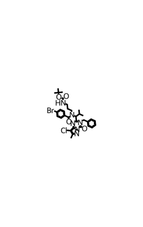 Cc1nn2c(=O)n(Cc3ccccc3)c(C(C(C)C)N(CCCNC(=O)OC(C)(C)C)C(=O)c3ccc(Br)cc3)nc2c1Cl